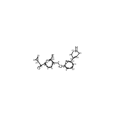 O=C(c1ccc(COc2cccc(C3=CCNCC3)n2)c(F)c1)C1CC1